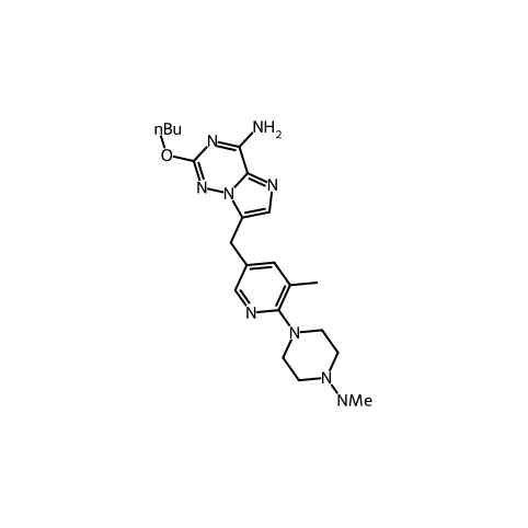 CCCCOc1nc(N)c2ncc(Cc3cnc(N4CCN(NC)CC4)c(C)c3)n2n1